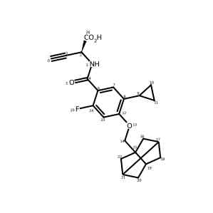 C#C[C@H](NC(=O)c1cc(C2CC2)c(OCC23CC4CC2CC4C3)cc1F)C(=O)O